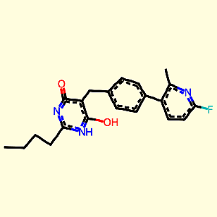 CCCCc1nc(=O)c(Cc2ccc(-c3ccc(F)nc3C)cc2)c(O)[nH]1